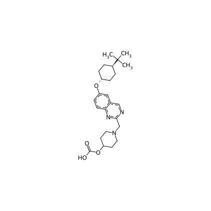 CC(C)(C)[C@H]1CC[C@H](Oc2ccc3nc(CN4CCC(OC(=O)O)CC4)ncc3c2)CC1